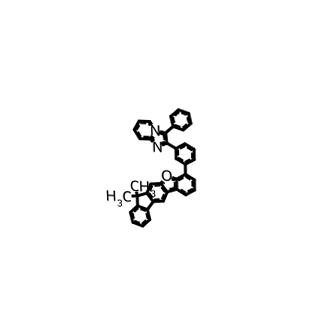 CC1(C)c2ccccc2-c2cc3c(cc21)oc1c(-c2cccc(-c4nc5ccccn5c4-c4ccccc4)c2)cccc13